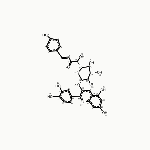 O=C(/C=C/c1ccc(O)cc1)C(O)[C@H]1O[C@@H](Oc2cc3c(O)cc(O)cc3[o+]c2-c2ccc(O)c(O)c2)[C@H](O)[C@@H](O)[C@H]1O